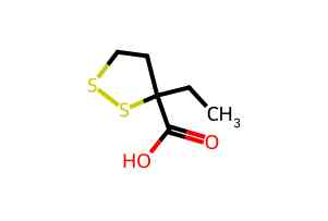 CCC1(C(=O)O)CCSS1